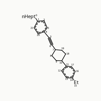 CCCCCCCc1ccc(C#CC2CCC(c3ccc(CC)cc3)CC2)cc1